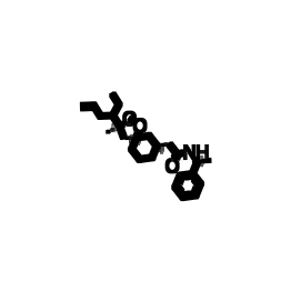 C=CCC(CC)[C@]1(C)C[C@]2(CCC[C@@H](CC(=O)N[C@@H](C)c3ccccc3)C2)OO1